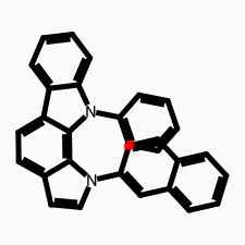 c1ccc(-n2c3ccccc3c3ccc4ccn(-c5ccc6ccccc6c5)c4c32)cc1